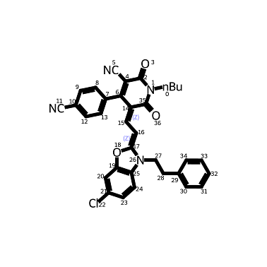 CCCCN1C(=O)C(C#N)=C(c2ccc(C#N)cc2)/C(=C/C=C2\Oc3cc(Cl)ccc3N2CCc2ccccc2)C1=O